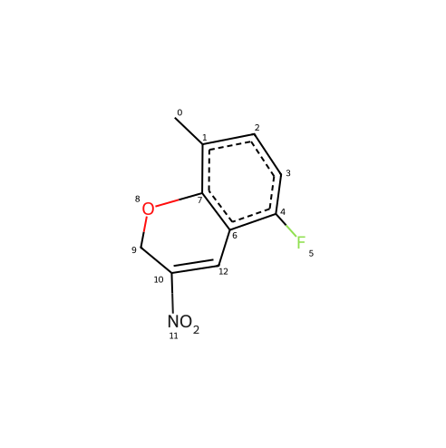 Cc1ccc(F)c2c1OCC([N+](=O)[O-])=C2